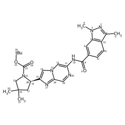 Cc1nn(C)c2cc(C(=O)Nc3cn4cc([C@H]5CC(C)(C)CN5C(=O)OC(C)(C)C)nc4cn3)ccc12